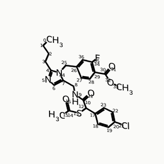 CCCCc1ncc(CNC(=O)C(SC(C)=O)c2ccc(Cl)cc2)n1Cc1ccc(C(=O)OC)c(F)c1